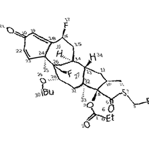 CCC(=O)O[C@]1(C(=O)SCF)[C@H](C)C[C@H]2[C@@H]3C[C@H](F)C4=CC(=O)C=C[C@]4(C)[C@@]3(F)[C@@H](OC(C)CC)C[C@@]21C